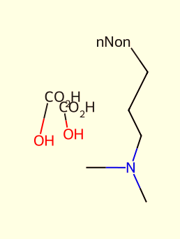 CCCCCCCCCCCCN(C)C.O=C(O)O.O=C(O)O